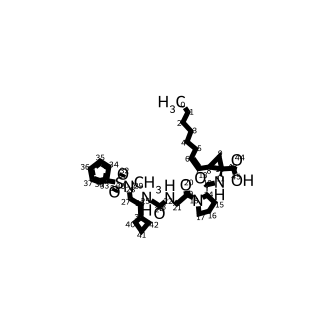 CCCCCC/C=C\C1C[C@]1(NC(=O)[C@@H]1CCCN1C(=O)CNC(=O)NC(CN(C)S(=O)(=O)c1ccccc1)C1CCC1)C(=O)O